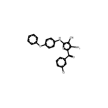 N#Cc1c(Nc2ccc(Oc3ccccc3)cc2)sc(C(=O)c2cccc(Cl)c2)c1N